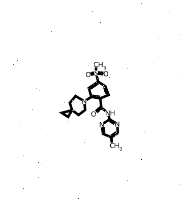 Cc1cnc(NC(=O)c2ccc(S(C)(=O)=O)cc2N2CCC3(CC2)CC3)nc1